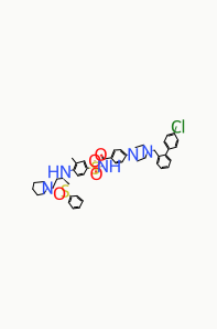 Cc1cc(S(=O)(=O)NC(=O)c2ccc(N3CCN(Cc4ccccc4-c4ccc(Cl)cc4)CC3)cc2)ccc1N[C@@H](CSc1ccccc1)CC(=O)N1CCCCC1